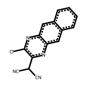 N#CC(C#N)c1nc2cc3ccccc3cc2nc1Cl